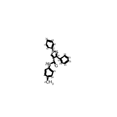 Cc1ccc(NC(=O)c2cn(-c3ccccc3)nc2-c2ccccc2)cc1